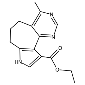 CCOC(=O)c1c[nH]c2c1-c1ncnc(C)c1CCC2